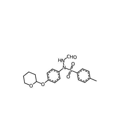 Cc1ccc(S(=O)(=O)N(NC=O)c2ccc(OC3CCCCO3)cc2)cc1